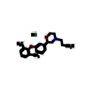 Cc1cccc(C)c1Oc1cccc(C2CN(CCC(=O)O)CCO2)c1.Cl